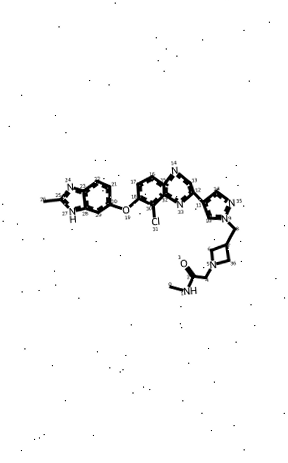 CNC(=O)CN1CC(Cn2cc(-c3cnc4ccc(Oc5ccc6nc(C)[nH]c6c5)c(Cl)c4n3)cn2)C1